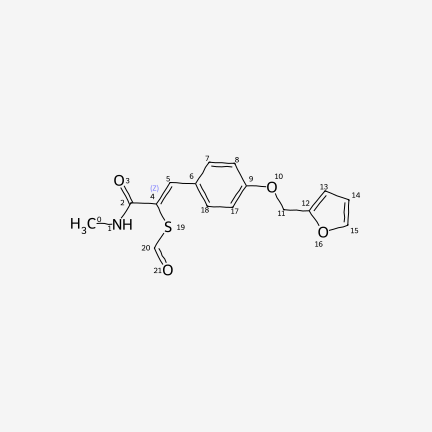 CNC(=O)/C(=C/c1ccc(OCc2ccco2)cc1)SC=O